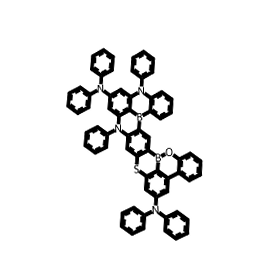 c1ccc(N(c2ccccc2)c2cc3c4c(c2)-c2ccccc2OB4c2cc4c(cc2S3)N(c2ccccc2)c2cc(N(c3ccccc3)c3ccccc3)cc3c2B4c2ccccc2N3c2ccccc2)cc1